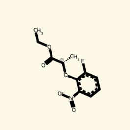 CCOC(=O)[C@H](C)Oc1c(F)cccc1[N+](=O)[O-]